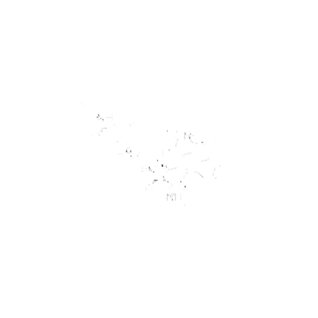 Cc1cc(-c2c(-c3ccccc3)nc(N)[n+]3c(=O)n(CCNC4CCCC(C(=O)NC5CC5)C4)[nH]c23)cc(C)n1